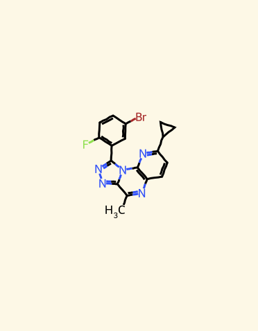 Cc1nc2ccc(C3CC3)nc2n2c(-c3cc(Br)ccc3F)nnc12